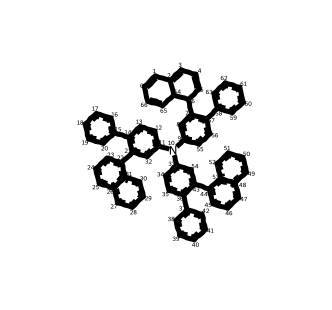 C1=CC2=CC=CC(c3cc(N(c4ccc(-c5ccccc5)c(-c5cccc6ccccc56)c4)c4ccc(-c5ccccc5)c(-c5cccc6ccccc56)c4)ccc3-c3ccccc3)C2C=C1